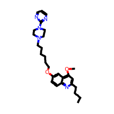 CCCCc1cc(OC)c2cc(OCCCCCCN3CCN(c4ncccn4)CC3)ccc2n1